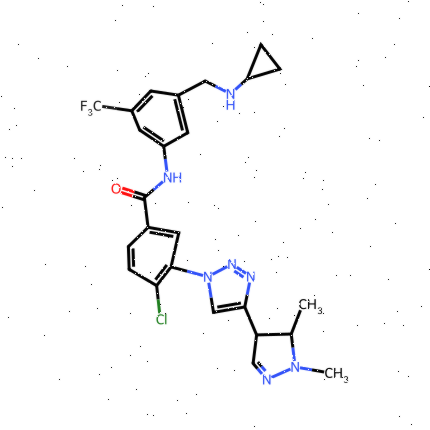 CC1C(c2cn(-c3cc(C(=O)Nc4cc(CNC5CC5)cc(C(F)(F)F)c4)ccc3Cl)nn2)C=NN1C